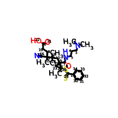 CN(C)CCCNC(=O)C1(CC(C)(C)C(C)(C#N)CCC(=O)O)C[C@]1(C)SC(=S)c1ccccc1